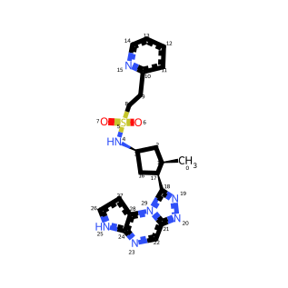 C[C@@H]1C[C@H](NS(=O)(=O)CCc2ccccn2)C[C@@H]1c1nnc2cnc3[nH]ccc3n12